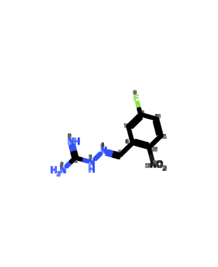 N=C(N)N/N=C/c1cc(F)ccc1[N+](=O)[O-]